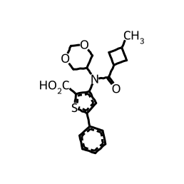 CC1CC(C(=O)N(c2cc(-c3ccccc3)sc2C(=O)O)C2COCOC2)C1